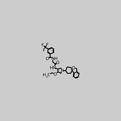 CCOC1CN(C2CCC3(CC2)OCc2ccccc23)CC1NC(=O)CNC(=O)c1cccc(C(F)(F)F)c1